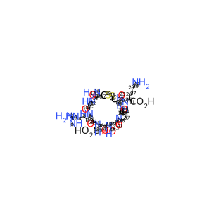 N=C(N)NCCC[C@@H]1NC(=O)CNC(=O)[C@H](N)CSSC[C@@H](C(=O)N[C@@H](CCCCN)C(=O)O)NC(=O)[C@@H]2CCCN2C(=O)[C@H](CO)NC(=O)[C@H](CC(=O)O)NC1=O